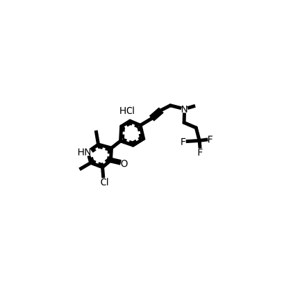 Cc1[nH]c(C)c(-c2ccc(C#CCN(C)CCC(F)(F)F)cc2)c(=O)c1Cl.Cl